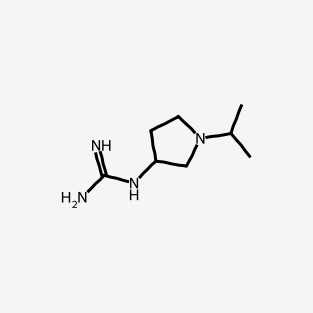 CC(C)N1CCC(NC(=N)N)C1